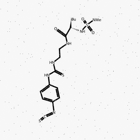 CC[C@H](C)[C@H](NS(=O)(=O)NC)C(=O)NCCNC(=S)Nc1ccc(N=C=S)cc1